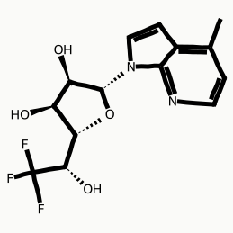 Cc1ccnc2c1ccn2[C@@H]1O[C@H]([C@H](O)C(F)(F)F)[C@@H](O)[C@H]1O